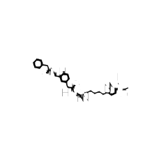 CC(=O)Nc1ccc(CCCCc2nnc(NC(=O)Cc3cccc(CNC(=O)Cc4ccccc4)c3)s2)nn1